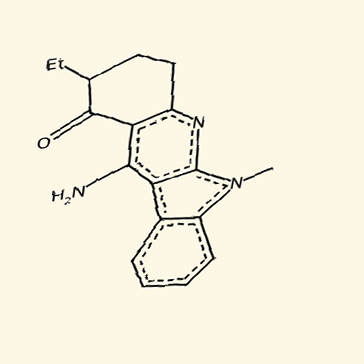 CCC1CCc2nc3c(c(N)c2C1=O)c1ccccc1n3C